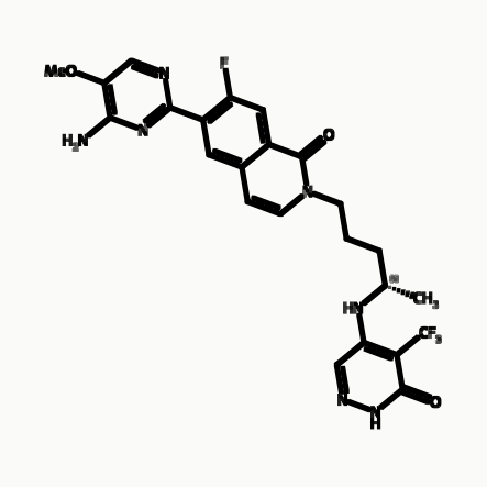 COc1cnc(-c2cc3ccn(CCC[C@H](C)Nc4cn[nH]c(=O)c4C(F)(F)F)c(=O)c3cc2F)nc1N